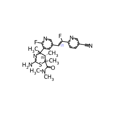 C[C@@H]1[C@@](C)(C(=O)N(C)C)SC(N)=N[C@]1(C)c1cc(/C=C(\F)c2ccc(C#N)cn2)cnc1F